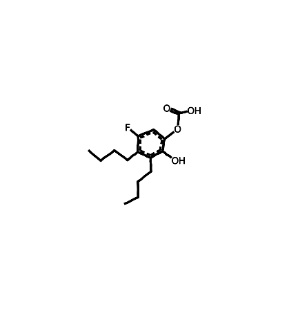 CCCCc1c(F)cc(OC(=O)O)c(O)c1CCCC